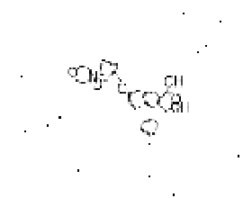 O=C(O)c1cc2cc(OCc3cccc([N+]4([O-])CCOCC4)c3)ccc2c(-c2ccccc2)c1CO